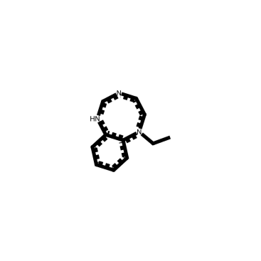 CCn1ccnc[nH]c2ccccc21